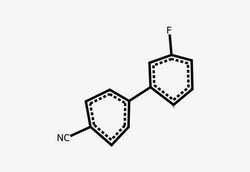 N#Cc1ccc(-c2[c]ccc(F)c2)cc1